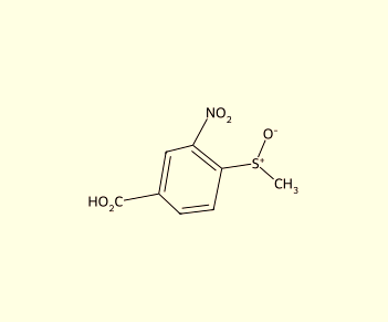 C[S+]([O-])c1ccc(C(=O)O)cc1[N+](=O)[O-]